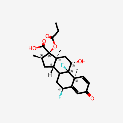 CCC(=O)O[C@]1(C(=O)O)[C@H](C)C[C@H]2C3C[C@H](F)C4=CC(=O)C=C[C@]4(C)[C@@]3(F)[C@@H](O)C[C@@]21C